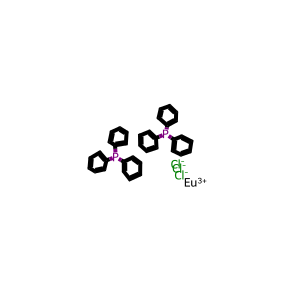 [Cl-].[Cl-].[Cl-].[Eu+3].c1ccc(P(c2ccccc2)c2ccccc2)cc1.c1ccc(P(c2ccccc2)c2ccccc2)cc1